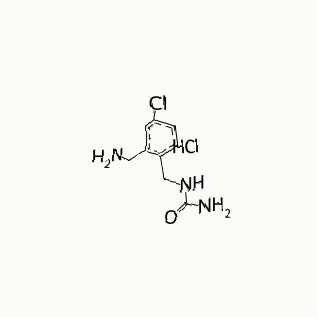 Cl.NCc1cc(Cl)ccc1CNC(N)=O